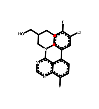 OCC1CCCN(c2ncnc3c(F)ccc(-c4ccc(F)c(Cl)c4)c23)C1